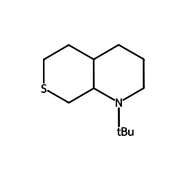 CC(C)(C)N1CCCC2CCSCC21